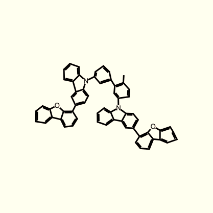 Cc1ccc(-n2c3ccccc3c3cc(-c4cccc5c4oc4ccccc45)ccc32)cc1-c1cccc(-n2c3ccccc3c3cc(-c4cccc5c4oc4ccccc45)ccc32)c1